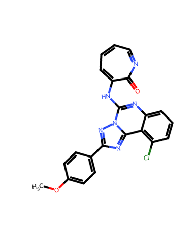 COc1ccc(-c2nc3c4c(Cl)cccc4nc(Nc4ccccnc4=O)n3n2)cc1